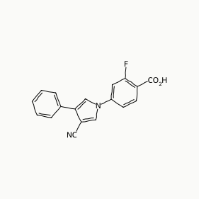 N#Cc1cn(-c2ccc(C(=O)O)c(F)c2)cc1-c1ccccc1